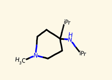 CC(C)NC1(C(C)C)CCN(C)CC1